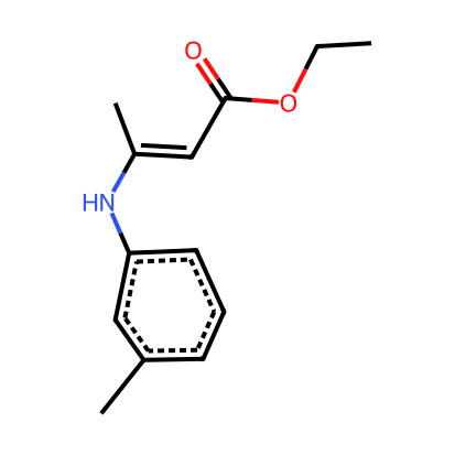 CCOC(=O)C=C(C)Nc1cccc(C)c1